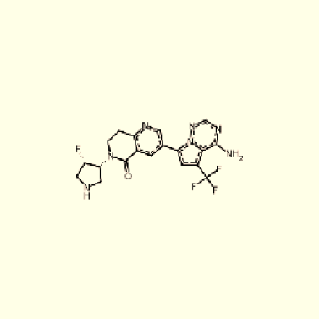 Nc1ncnn2c(-c3cnc4c(c3)C(=O)N([C@@H]3CNC[C@@H]3F)CC4)cc(C(F)(F)F)c12